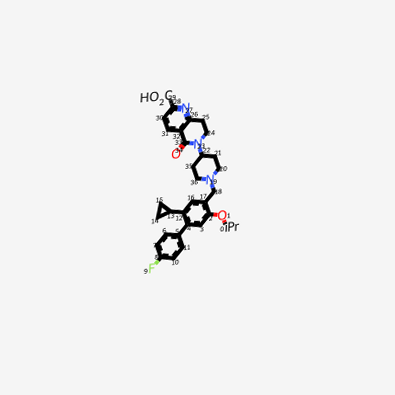 CC(C)Oc1cc(-c2ccc(F)cc2)c(C2CC2)cc1CN1CCC(N2CCc3nc(C(=O)O)ccc3C2=O)CC1